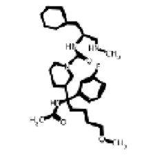 CNCC(CC1CCCCC1)NC(=O)N1CCCC(C(CCCCOC)(NC(C)=O)c2cccc(F)c2)C1